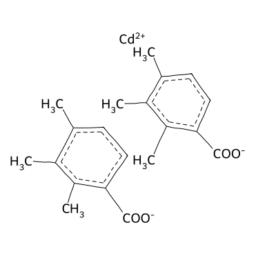 Cc1ccc(C(=O)[O-])c(C)c1C.Cc1ccc(C(=O)[O-])c(C)c1C.[Cd+2]